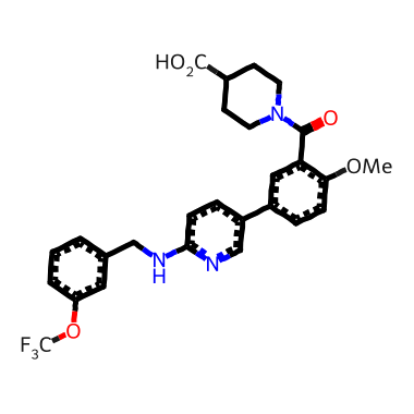 COc1ccc(-c2ccc(NCc3cccc(OC(F)(F)F)c3)nc2)cc1C(=O)N1CCC(C(=O)O)CC1